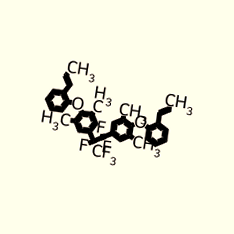 CC=Cc1ccccc1Oc1c(C)cc(C(F)(F)C(F)(c2cc(C)c(Oc3ccccc3C=CC)c(C)c2)C(F)(F)F)cc1C